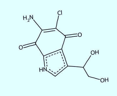 NC1=C(Cl)C(=O)c2c(C(O)CO)c[nH]c2C1=O